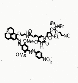 [C-]#[N+]CCOP(OC1C[C@H](n2cc(/C=C/C(=O)NCCOc3c(/N=N/c4cc(OC)c(/N=N/c5ccc([N+](=O)[O-])cc5)cc4OC)cc4c5c3CCCN5CCC4)c(=O)[nH]c2=O)O[C@@H]1CC)N(C(C)C)C(C)C